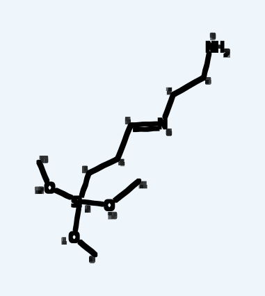 CO[Si](CCC=NCCN)(OC)OC